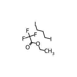 CCOC(=O)C(F)(F)F.ICCCI